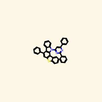 c1ccc(-c2cc(-n3c4ccccc4c4c(-c5ccccc5)cc5sc6ccccc6c5c43)nc(-c3ccccc3)n2)cc1